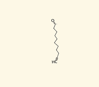 C#CCCCCCCCC[C]=O